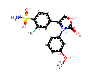 NS(=O)(=O)c1ccc(-c2coc(=O)n2-c2cccc(OC(F)(F)F)c2)cc1F